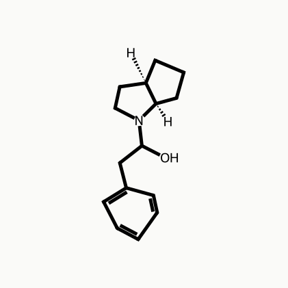 OC(Cc1ccccc1)N1CC[C@H]2CCC[C@H]21